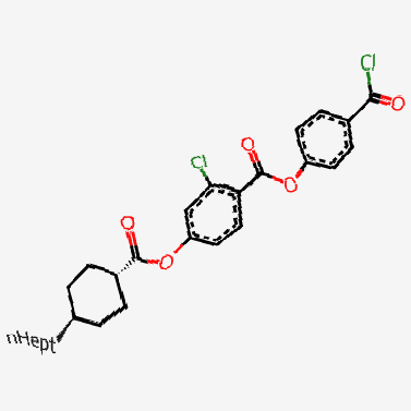 CCCCCCC[C@H]1CC[C@H](C(=O)Oc2ccc(C(=O)Oc3ccc(C(=O)Cl)cc3)c(Cl)c2)CC1